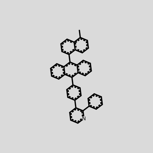 Cc1cccc2c(-c3c4ccccc4c(-c4ccc(-c5cccnc5-c5ccccc5)cc4)c4ccccc34)cccc12